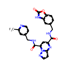 O=C(NCc1ccc2oc(=O)[nH]c2c1)c1cc(C(=O)NCc2ccnc(C(F)(F)F)c2)n2nccc2n1